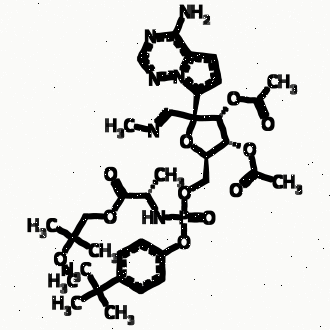 CN=C[C@@]1(c2ccc3c(N)ncnn23)O[C@H](COP(=O)(N[C@@H](C)C(=O)OCC(C)(C)OC)Oc2ccc(C(C)(C)C)cc2)[C@@H](OC(C)=O)[C@H]1OC(C)=O